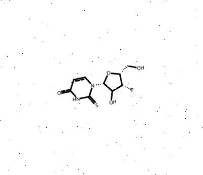 O=c1ccn([C@@H]2O[C@H](CO)[C@H](F)C2O)c(=S)[nH]1